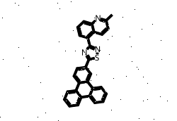 Cc1ccc2c(-c3nsc(-c4ccc5c6ccccc6c6ccccc6c5c4)n3)cccc2n1